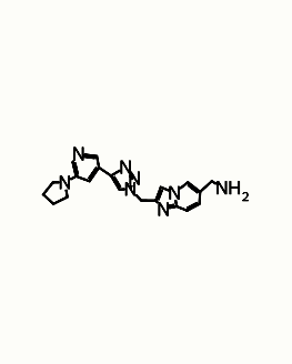 NCc1ccc2nc(Cn3cc(-c4cncc(N5CCCC5)c4)nn3)cn2c1